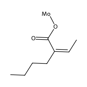 CC=C(CCCC)C(=O)[O][Mo]